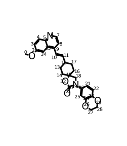 COc1ccc2nccc(C=CC3CCC4(CC3)CN(c3ccc5c(c3)OCCO5)C(=O)O4)c2c1